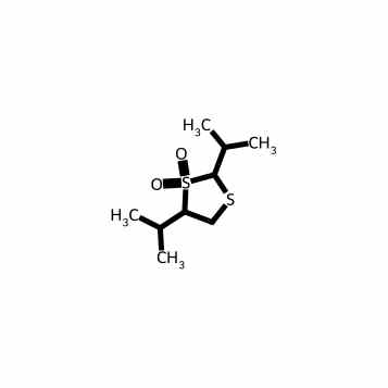 CC(C)C1CSC(C(C)C)S1(=O)=O